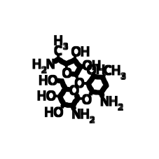 C[C@@H]1CC(N)[C@@H](O[C@H]2OC(CO)[C@@H](O)[C@H](O)C2N)[C@H](O[C@@H]2O[C@H]([C@@H](C)N)[C@H](O)C2O)C1O